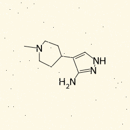 CN1CCC(c2c[nH]nc2N)CC1